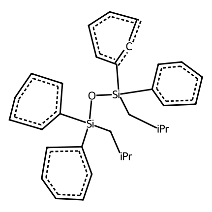 CC(C)C[Si](O[Si](CC(C)C)(c1ccccc1)c1ccccc1)(c1ccccc1)c1ccccc1